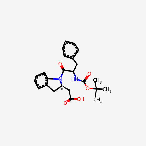 CC(C)(C)OC(=O)NC(Cc1ccccc1)C(=O)N1c2ccccc2C[C@@H]1CC(=O)O